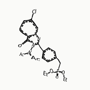 CCOP(=O)(Cc1ccc(-c2nc3cc(Cl)ccc3c(=O)n2N(C(C)=O)C(C)=O)cc1)OCC